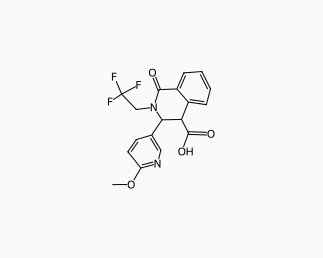 COc1ccc(C2C(C(=O)O)c3ccccc3C(=O)N2CC(F)(F)F)cn1